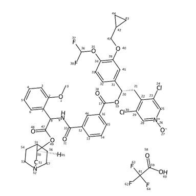 COc1ccccc1C(NC(=O)c1cccc(C(=O)O[C@@H](Cc2c(Cl)c[n+]([O-])cc2Cl)c2ccc(OC(F)F)c(OCC3CC3)c2)c1)C(=O)O[C@H]1CN2CCC1CC2.O=C(O)C(F)(F)F